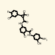 N#Cc1cc(NC(=O)c2cc(NC(=O)C3C(c4ccc(F)c(Cl)c4)C3(Cl)Cl)ccc2Cl)ccc1N